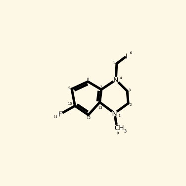 CN1CCN(CI)c2ccc(F)cc21